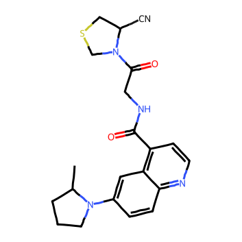 CC1CCCN1c1ccc2nccc(C(=O)NCC(=O)N3CSCC3C#N)c2c1